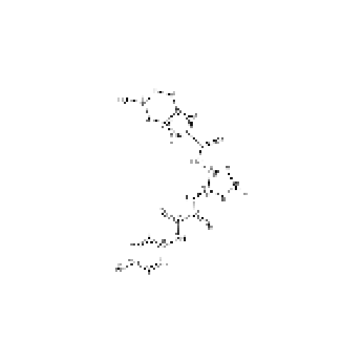 CN1CCc2nc(C(=O)N[C@@H]3CCC[C@H]3NC(=O)C(=O)Nc3ccc(Cl)cc3)sc2C1.Cl